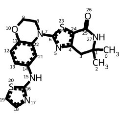 CC1(C)Cc2nc(N3CCOc4ccc(Nc5nccs5)cc43)sc2C(=O)N1